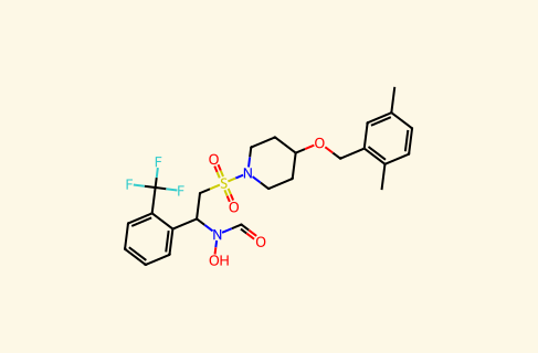 Cc1ccc(C)c(COC2CCN(S(=O)(=O)CC(c3ccccc3C(F)(F)F)N(O)C=O)CC2)c1